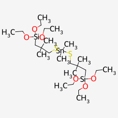 CCO[Si](CC(C)(C)C[S][Sn]([CH3])([CH3])[S]CC(C)(C)C[Si](OCC)(OCC)OCC)(OCC)OCC